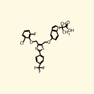 CC(C)(C(=O)O)n1ccc2cc(OCc3sc(-c4ccc(C(F)(F)F)cc4)nc3COc3c(F)cccc3Cl)ccc21